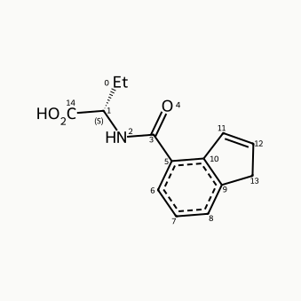 CC[C@H](NC(=O)c1cccc2c1C=CC2)C(=O)O